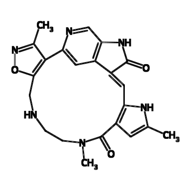 Cc1cc2c([nH]1)/C=C1\C(=O)Nc3cnc(cc31)-c1c(C)noc1CNCCN(C)C2=O